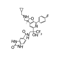 C[C@]1(CNCC2CC2)COc2c1cc(C(O)(CNC(=O)c1ccc3[nH]c(=O)[nH]c3c1)C(F)(F)F)nc2-c1ccc(F)cc1